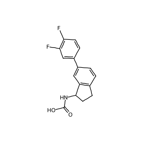 O=C(O)NC1CCc2ccc(-c3ccc(F)c(F)c3)cc21